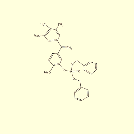 C=C(c1ccc(OC)c(OP(=O)(OCc2ccccc2)OCc2ccccc2)c1)c1cc(C)c(C)c(OC)c1